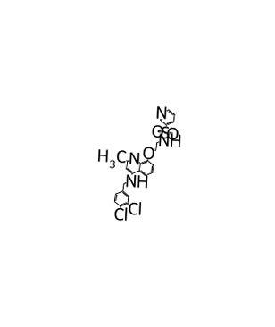 Cc1cc(NCc2ccc(Cl)c(Cl)c2)c2cccc(OCCNS(=O)(=O)c3cccnc3)c2n1